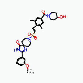 Cc1cc(C(=O)N2CCC(O)CC2)cc(C)c1/C=C/S(=O)(=O)N1CCC2(CC1)N=C(c1cccc(OC(F)(F)F)c1)NC2=O